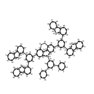 c1ccc(-c2cc(-c3ccccc3)cc(-n3c4cc(-c5cc(-c6cccc7c6sc6ccccc67)cc(-c6cccc7c6sc6ccccc67)c5)cc5c4c4c(cc(-c6cc(-c7cccc8c7sc7ccccc78)cc(-c7cccc8c7sc7ccccc78)c6)cc43)CC5)c2)cc1